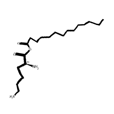 CCCCCCCCCCCCCC(=O)OC(=O)[C@@H](N)CCCCN